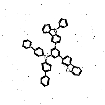 c1ccc(-c2ccc(N(c3ccc(-c4ccccc4)cc3)c3cc(-c4ccc5c(c4)oc4ccccc45)cc(-c4ccc5c(c4)c4ccccc4n5-c4ccccc4)c3)cc2)cc1